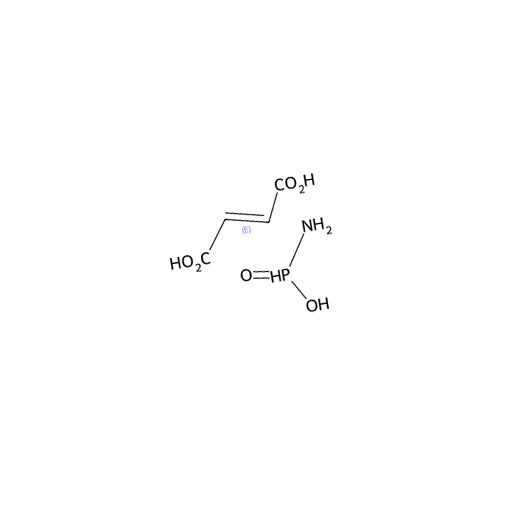 N[PH](=O)O.O=C(O)/C=C/C(=O)O